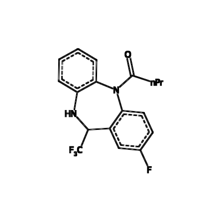 CCCC(=O)N1c2ccccc2NC(C(F)(F)F)c2cc(F)ccc21